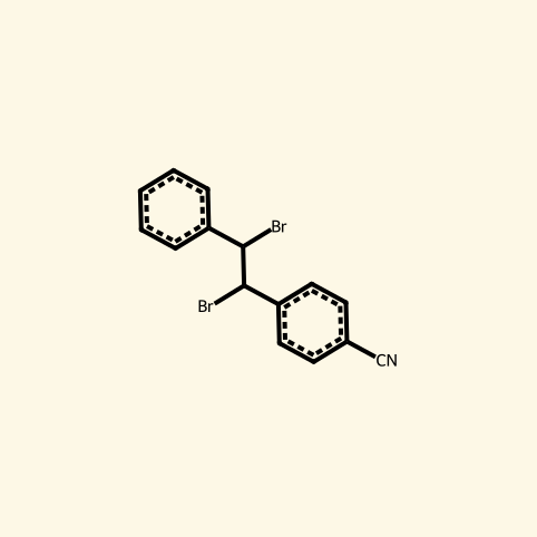 N#Cc1ccc(C(Br)C(Br)c2ccccc2)cc1